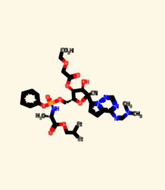 CCC(CC)COC(=O)[C@H](C)N[P@](=O)(OC[C@H]1O[C@@](C#N)(c2ccc3c(/N=C\N(C)C)ncnn23)[C@H](O)[C@@H]1OC(=O)COCC(=O)O)Oc1ccccc1